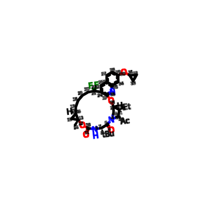 CC[C@@H]1[C@@H]2CN(C(=O)[C@H](C(C)(C)C)NC(=O)O[C@]3(C)C[C@H]3CCCCC(F)(F)c3cc4ccc(OC5CC5)cc4nc3O2)[C@@H]1C(C)=O